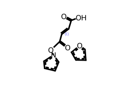 O=C(O)/C=C/C(=O)On1cccc1.c1ccoc1